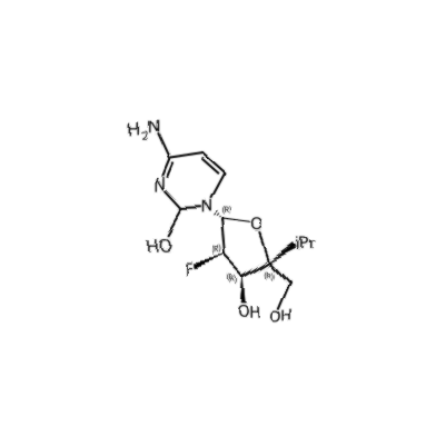 CC(C)[C@]1(CO)O[C@@H](N2C=CC(N)=NC2O)[C@H](F)[C@@H]1O